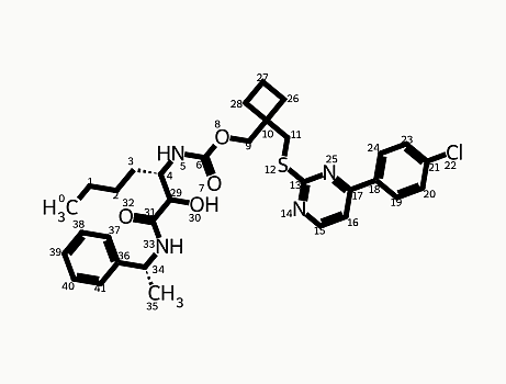 CCCC[C@H](NC(=O)OCC1(CSc2nccc(-c3ccc(Cl)cc3)n2)CCC1)C(O)C(=O)N[C@H](C)c1ccccc1